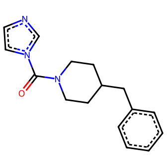 O=C(N1CCC(Cc2ccccc2)CC1)n1ccnc1